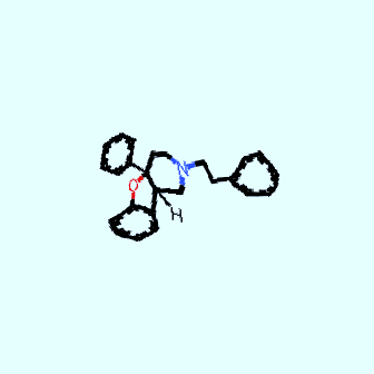 c1ccc(CCN2CC[C@@]3(c4ccccc4)Oc4ccccc4[C@H]3C2)cc1